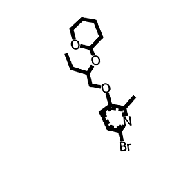 CCC(COc1ccc(Br)nc1C)OC1CCCCO1